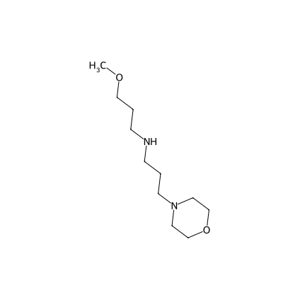 COCCCNCCCN1CCOCC1